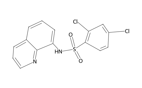 O=S(=O)(Nc1cccc2cccnc12)c1ccc(Cl)cc1Cl